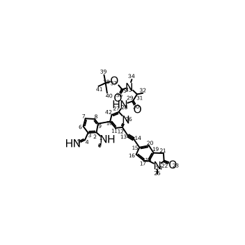 CNc1c(C=N)cccc1-c1cc(C#Cc2ccc3c(c2)CC(=O)N3C)nc(NC(=O)C(C)N(C)C(=O)OC(C)(C)C)c1